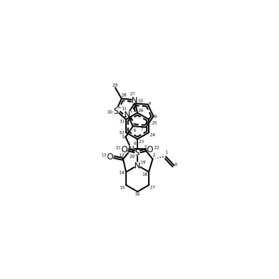 C=C[C@H]1CN(Cc2ccccn2)C(=O)C2CCCC1N2S(=O)(=O)c1ccc2nc(C)sc2c1